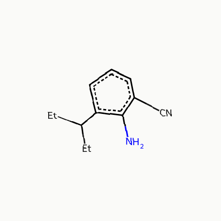 CCC(CC)c1cccc(C#N)c1N